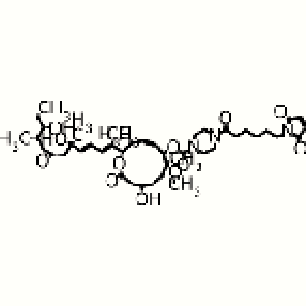 CC[C@H](O)[C@@H](C)[C@H]1O[C@@H]1CC(C)(O)/C=C/C=C(\C)C1OC(=O)CC(O)CCC(C)(OC)C(OC(=O)N2CCN(C(=O)CCCCCN3C(=O)C=CC3=O)CC2)C=CC1C